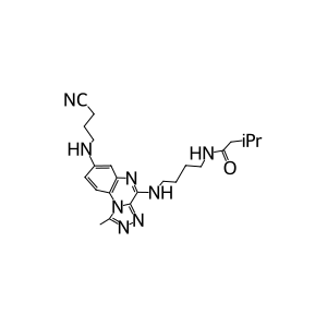 Cc1nnc2c(NCCCCNC(=O)CC(C)C)nc3cc(NCCCC#N)ccc3n12